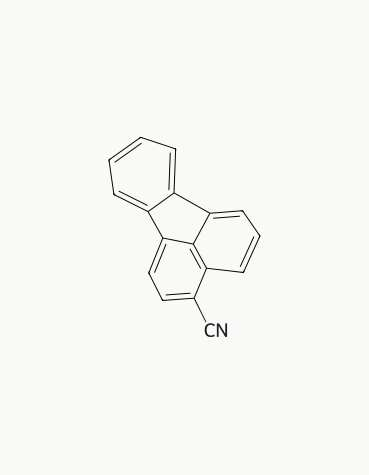 N#Cc1ccc2c3c(cccc13)-c1ccccc1-2